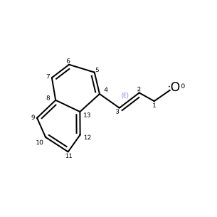 [O]C/C=C/c1cccc2ccccc12